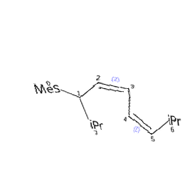 CSC(/C=C\C=C/C(C)C)C(C)C